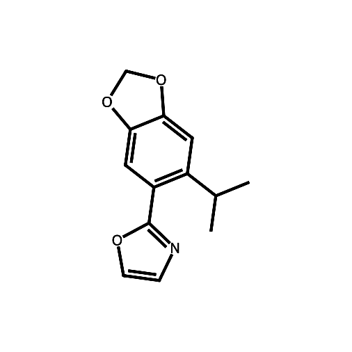 CC(C)c1cc2c(cc1-c1ncco1)OCO2